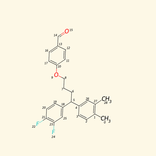 Cc1ccc(C(CCCOc2ccc(C=O)cc2)c2ccc(F)c(F)c2)cc1C